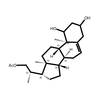 CC(=O)OC[C@@H](C)[C@H]1CC[C@H]2[C@@H]3CC=C4CC(O)CC(O)[C@]4(C)[C@H]3CC[C@]12C